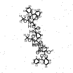 COC1=C(C(=O)OC(c2ccccc2)c2ccccc2)N2C(=O)[C@@H](NC(=O)C(NC(=O)OC(C)(C)C)c3cccc(NC(=O)OCC(NC(=O)OC(C)(C)C)C(=O)OC(c4ccccc4)c4ccccc4)c3)[C@H]2SC1